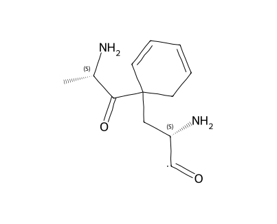 C[C@H](N)C(=O)C1(C[C@H](N)[C]=O)C=CC=CC1